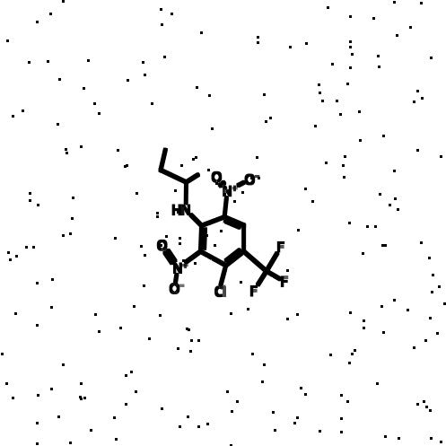 CCC(C)Nc1c([N+](=O)[O-])cc(C(F)(F)F)c(Cl)c1[N+](=O)[O-]